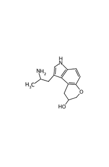 CC(N)Cc1c[nH]c2ccc3c(c12)CC(O)CO3